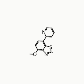 COc1ccc(-c2ccccn2)c2s[c]nc12